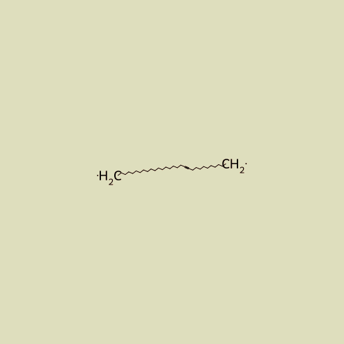 [CH2]CCCCCCCCCC#CCCCCCCCCCCCCCCCCC[CH2]